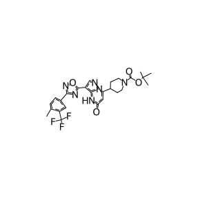 Cc1ccc(-c2noc(-c3cnn4c(C5CCN(C(=O)OC(C)(C)C)CC5)cc(=O)[nH]c34)n2)cc1C(F)(F)F